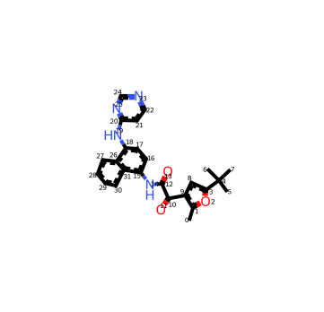 Cc1oc(C(C)(C)C)cc1C(=O)C(=O)Nc1ccc(Nc2ccncn2)c2ccccc12